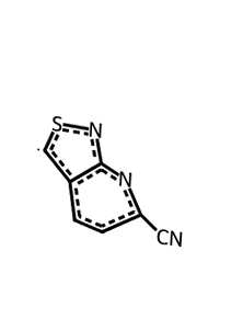 N#Cc1ccc2[c]snc2n1